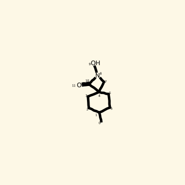 CC1CCC2(CC1)CN(O)C2=O